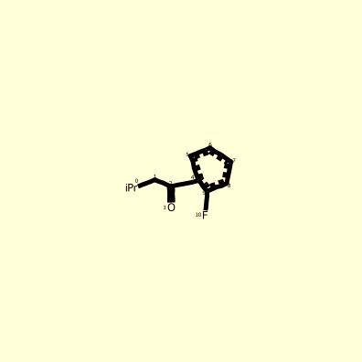 [CH2]C(C)CC(=O)c1ccccc1F